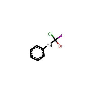 Cl[C](Br)(I)[Hg][c]1ccccc1